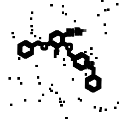 Fc1c(OCc2ccccc2)ccc(Br)c1OCc1cc[n+](Cc2ccccc2)cc1.[Br-]